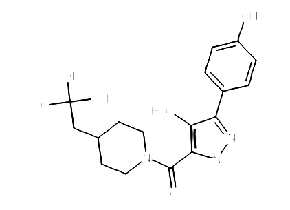 Cc1ccc(-c2n[nH]c(C(=O)N3CCC(CC(C)(C)O)CC3)c2C)cc1